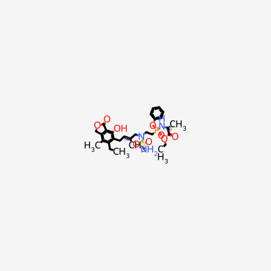 CCOC(=O)[C@H](C)NP(=O)(CCN(C/C(C)=C/Cc1c(O)c2c(c(C)c1CC)COC2=O)S(N)(=O)=O)Oc1ccccc1